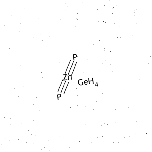 [GeH4].[P]#[Zn]#[P]